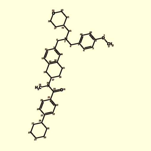 COc1ccc(CN(Cc2ccc3c(c2)CCC(N(C)C(=O)c2ccc(C4CCCCC4)cc2)C3)CC2CCOCC2)cc1